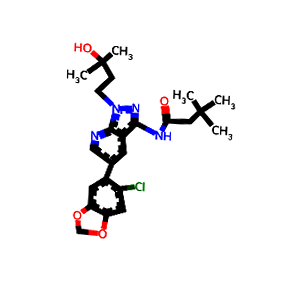 CC(C)(C)CC(=O)Nc1nn(CCC(C)(C)O)c2ncc(-c3cc4c(cc3Cl)OCO4)cc12